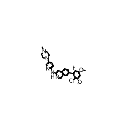 COc1cc(OC)c(Cl)c(-c2ccc3cc(Nc4ccc(N5CCN(C)CC5)cn4)ncc3c2)c1F